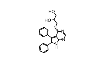 OCC(O)C/N=C1\N=CN=C2NC(c3ccccc3)C(c3ccccc3)=C21